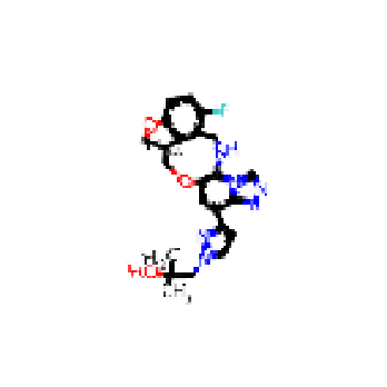 CC(C)(O)Cn1ccc(-c2cc3c(n4cnnc24)NCc2c(F)ccc4c2[C@@H](CO4)CO3)n1